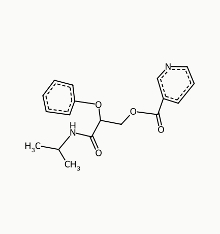 CC(C)NC(=O)C(COC(=O)c1cccnc1)Oc1ccccc1